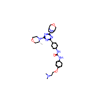 C[C@@H]1COCCN1c1nc(-c2ccc(NC(=O)Nc3ccc(OCCN(C)C)cc3)cc2)nc(N2C3CCC2COC3)n1